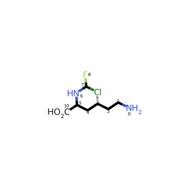 NCCCCC(NC(F)Cl)C(=O)O